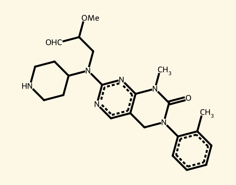 COC(C=O)CN(c1ncc2c(n1)N(C)C(=O)N(c1ccccc1C)C2)C1CCNCC1